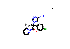 CC(C(=O)N1CCCC1)(c1ccc(F)cc1)n1cnc(N)c1